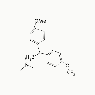 BC(c1ccc(OC)cc1)c1ccc(OC(F)(F)F)cc1.CN(C)C